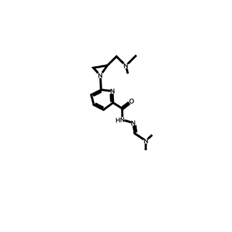 CN(C)/C=N/NC(=O)c1cccc(N2CC2CN(C)C)n1